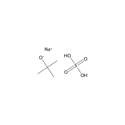 CC(C)(C)[O-].O=S(=O)(O)O.[Na+]